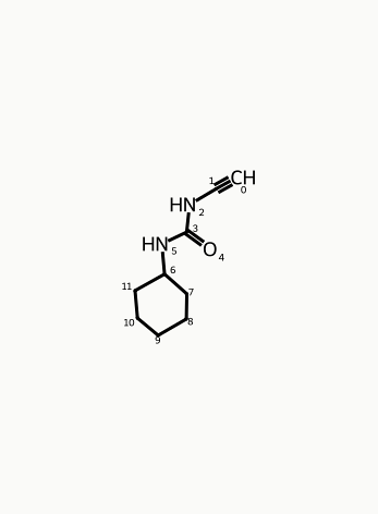 C#CNC(=O)NC1CCCCC1